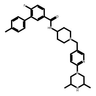 Cc1ccc(-c2cc(C(=O)NC3CCN(Cc4ccc(N5CC(C)NC(C)C5)nc4)CC3)ccc2F)cc1